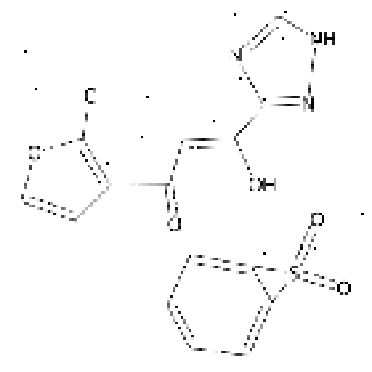 O=C(C=C(O)c1nc[nH]n1)c1ccoc1Cl.O=S1(=O)c2ccccc21